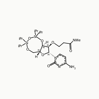 CNC(=O)CCO[C@@H]1[C@@H]2O[Si](C(C)C)(C(C)C)O[Si](C(C)C)(C(C)C)OC[C@H]2O[C@H]1n1ccc(N)nc1=O